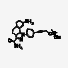 CC(C)(C)[Si](C)(C)OCC#Cc1ccc(-n2nc(C(N)=O)c3c2-c2cc(N)ccc2CC3)cc1